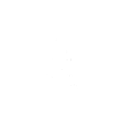 O=C(O)Oc1cccc(CC(F)F)c1O